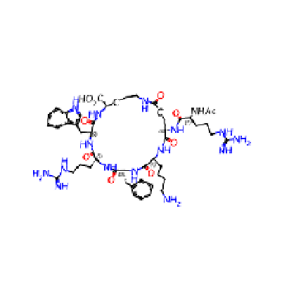 CC(=O)N[C@@H](CCCNC(=N)N)C(=O)N[C@H]1CCC(=O)NCCCC(C(=O)O)NC(=O)[C@H](Cc2c[nH]c3ccccc23)NC(=O)[C@H](CCCNC(=N)N)NC(=O)[C@@H](Cc2ccccc2)NC(=O)[C@H](CCCCN)NC1=O